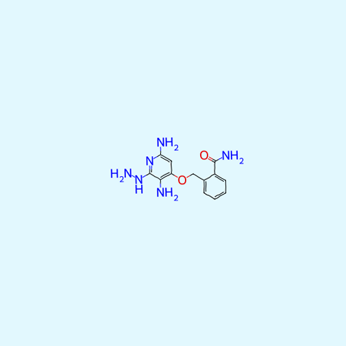 NNc1nc(N)cc(OCc2ccccc2C(N)=O)c1N